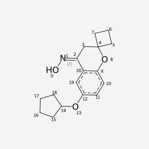 O/N=C1/CC2(CCC2)Oc2ccc(OC3CCCC3)cc21